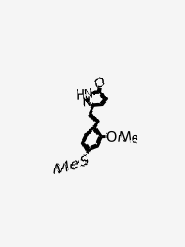 COc1cc(SC)ccc1C=Cc1ccc(=O)[nH]n1